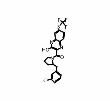 O=C(c1nc2ccc(SC(F)(F)F)cc2nc1O)N1CCCC1Cc1cccc(Cl)c1